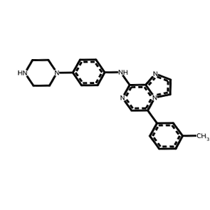 Cc1cccc(-c2cnc(Nc3ccc(N4CCNCC4)cc3)c3nccn23)c1